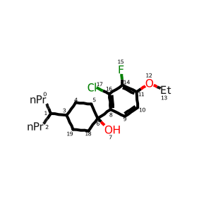 CCCC(CCC)C1CCC(O)(c2ccc(OCC)c(F)c2Cl)CC1